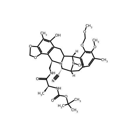 COCOc1c(OC)c(C)cc2c1[C@H]1C3Cc4c(O)c(C)c5c(c4[C@H](CNC(=O)[C@H](C)NC(=O)OC(C)(C)C)N3[C@@H](C#N)[C@@H](C2)N1C)OCO5